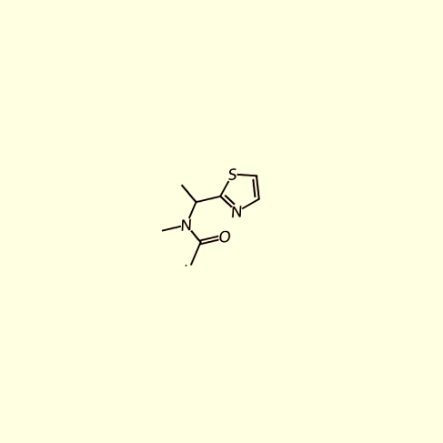 [CH2]C(=O)N(C)C(C)c1nccs1